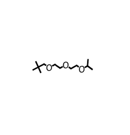 CC(C)OCCOCCOCC(C)(C)C